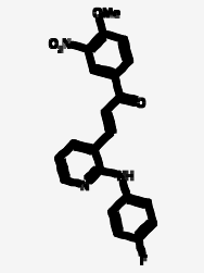 COc1ccc(C(=O)C=Cc2cccnc2Nc2ccc(F)cc2)cc1[N+](=O)[O-]